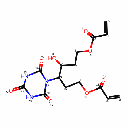 C=CC(=O)OCCC(O)C(CCOC(=O)C=C)n1c(=O)[nH]c(=O)[nH]c1=O